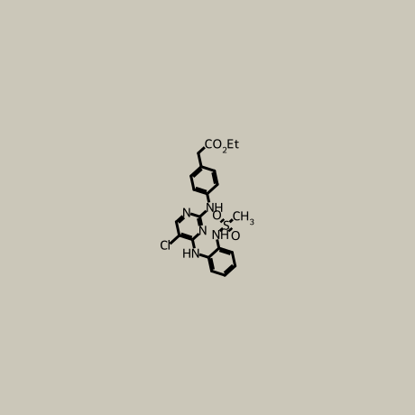 CCOC(=O)Cc1ccc(Nc2ncc(Cl)c(Nc3ccccc3NS(C)(=O)=O)n2)cc1